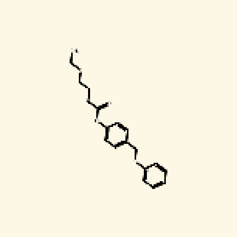 CCOCCCC(=O)Oc1ccc(CSc2ccccc2)cc1